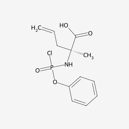 C=CC[C@](C)(NP(=O)(Cl)Oc1ccccc1)C(=O)O